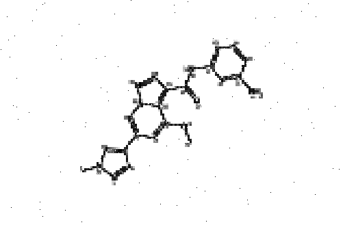 COc1cc(-c2cnn(C)c2)cn2ncc(C(=O)Nc3cc(N)ccn3)c12